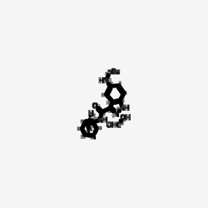 CCCCNc1ccc2[nH]nc(C(=O)N[C@H]3CN4CCC3CC4)c2c1.O=CO